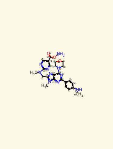 CNc1ccc(-c2nc(N3CCOCC3)c3nc(CN(C)c4ncc(C(=O)ON)cn4)n(C)c3n2)cc1